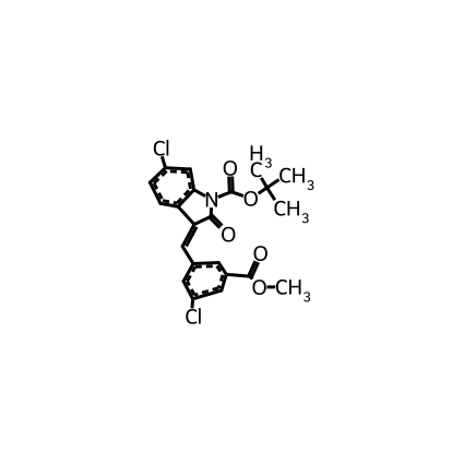 COC(=O)c1cc(Cl)cc(C=C2C(=O)N(C(=O)OC(C)(C)C)c3cc(Cl)ccc32)c1